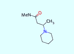 CNC(=O)CC(C)N1CCCCC1